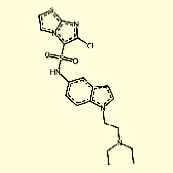 CCN(CC)CCn1ccc2cc(NS(=O)(=O)c3c(Cl)nc4sccn34)ccc21